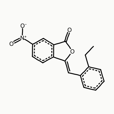 CCc1ccccc1C=C1OC(=O)c2cc([N+](=O)[O-])ccc21